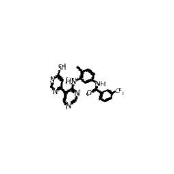 Cc1ccc(NC(=O)c2cccc(C(F)(F)F)c2)cc1Nc1ncncc1-c1cc(S)ncn1